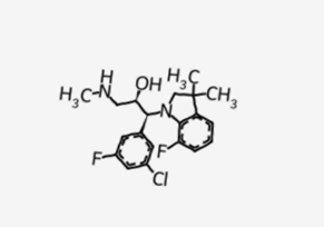 CNC[C@@H](O)[C@H](c1cc(F)cc(Cl)c1)N1CC(C)(C)c2cccc(F)c21